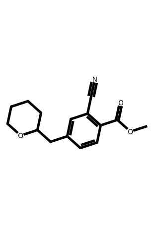 COC(=O)c1ccc(CC2CCCCO2)cc1C#N